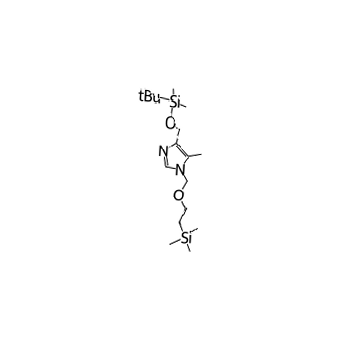 Cc1c(CO[Si](C)(C)C(C)(C)C)ncn1COCC[Si](C)(C)C